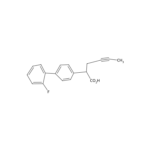 CC#CCC(C(=O)O)c1ccc(-c2ccccc2F)cc1